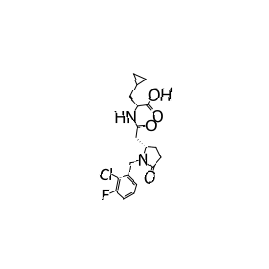 O=C(C[C@@H]1CCC(=O)N1Cc1cccc(F)c1Cl)N[C@@H](CC1CC1)C(=O)O